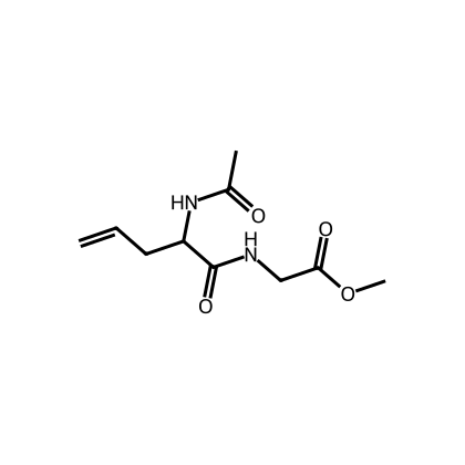 C=CCC(NC(C)=O)C(=O)NCC(=O)OC